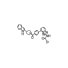 O=C(Nc1nc2cccc(-c3ccc(C(=O)N4CCC(c5cc6ccccc6[nH]5)CC4)cc3)n2n1)C1CC1